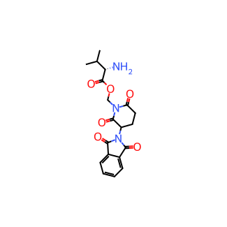 CC(C)[C@H](N)C(=O)OCN1C(=O)CCC(N2C(=O)c3ccccc3C2=O)C1=O